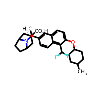 CC1CCC(Oc2ccc3cc(C(C)N4C5CCC4CC(C(=O)O)C5)ccc3c2C(F)F)CC1